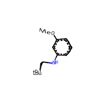 COc1cccc(NCC(C)(C)C)c1